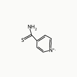 NC(=S)C1=CC=[N+]C=C1